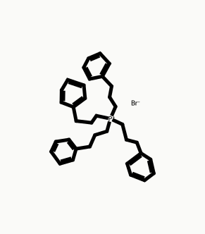 [Br-].c1ccc(CCC[P+](CCCc2ccccc2)(CCCc2ccccc2)CCCc2ccccc2)cc1